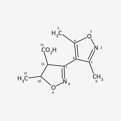 Cc1noc(C)c1C1=NOC(C)C1C(=O)O